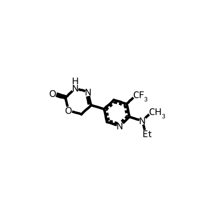 CCN(C)c1ncc(C2=NNC(=O)OC2)cc1C(F)(F)F